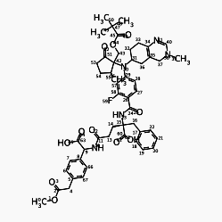 COC(=O)Cc1ccc(C(NC(=O)CC[C@](Cc2ccccc2)(NC(=O)c2ccc(N(C3CCC4=C(C3)CN(C)C=N4)C3(COC(=O)C(C)(C)C)C(=O)CCC3C)cc2F)C(=O)O)C(=O)O)cc1